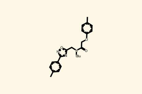 Cc1ccc(OCC(=O)N(Cc2nc(-c3ccc(C)cc3)no2)C(C)(C)C)cc1